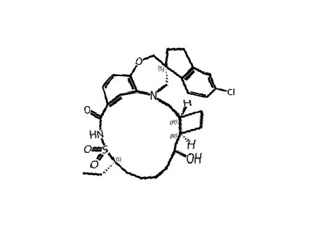 CC[C@H]1CCCCC(O)[C@@H]2CC[C@H]2CN2C[C@@]3(CCc4cc(Cl)ccc43)COc3ccc(cc32)C(=O)NS1(=O)=O